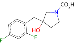 O=C(O)N1CCC(O)(Cc2ccc(F)cc2F)C1